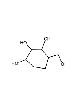 OCC1CCC(O)[C](O)C1O